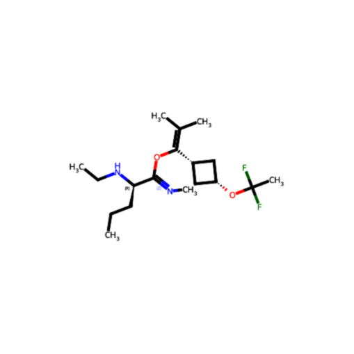 CCC[C@@H](NCC)/C(=N/C)OC(=C(C)C)[C@H]1C[C@@H](OC(C)(F)F)C1